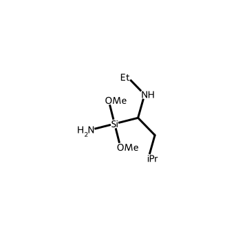 CCNC(CC(C)C)[Si](N)(OC)OC